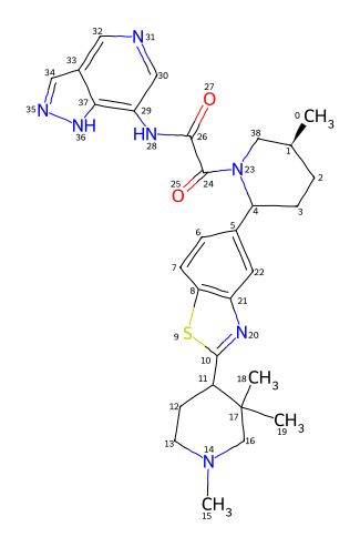 C[C@H]1CCC(c2ccc3sc(C4CCN(C)CC4(C)C)nc3c2)N(C(=O)C(=O)Nc2cncc3cn[nH]c23)C1